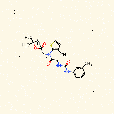 Cc1cccc(NC(=O)NCC(=O)N(CC(=O)OC(C)(C)C)c2sccc2C)c1